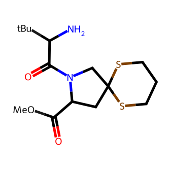 COC(=O)C1CC2(CN1C(=O)C(N)C(C)(C)C)SCCCS2